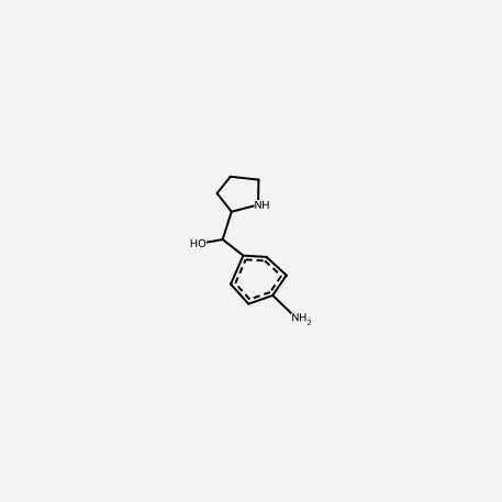 Nc1ccc(C(O)C2CCCN2)cc1